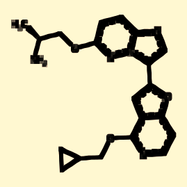 C[C@H](N)COc1ccc2ncc(-c3cc4c(OCC5CC5)nccc4o3)n2n1